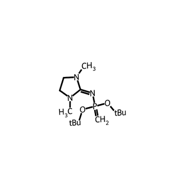 C=P(N=C1N(C)CCN1C)(OC(C)(C)C)OC(C)(C)C